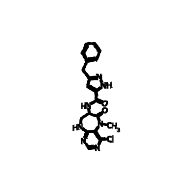 CN1C(=O)C(NC(=O)c2cc(Cc3ccccc3)n[nH]2)CNc2ncnc(Cl)c21